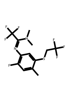 Cc1cc(F)c(/N=C(\N(C)C)C(F)(F)F)cc1SCC(F)(F)F